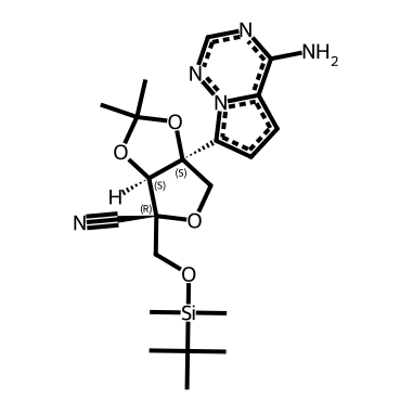 CC1(C)O[C@@H]2[C@@](C#N)(CO[Si](C)(C)C(C)(C)C)OC[C@]2(c2ccc3c(N)ncnn23)O1